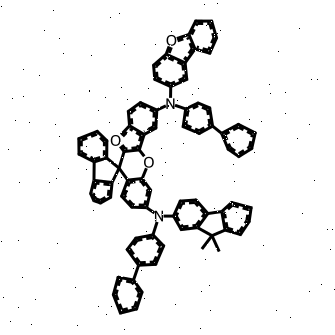 CC1(C)c2ccccc2-c2ccc(N(c3ccc(-c4ccccc4)cc3)c3ccc4c(c3)Oc3c(oc5ccc(N(c6ccc(-c7ccccc7)cc6)c6ccc7oc8ccccc8c7c6)cc35)C43c4ccccc4-c4ccccc43)cc21